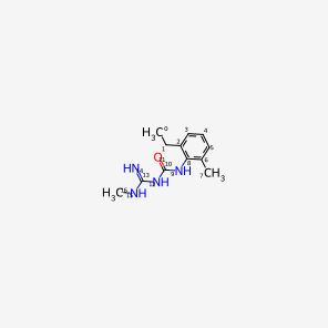 CCc1cccc(C)c1NC(=O)NC(=N)NC